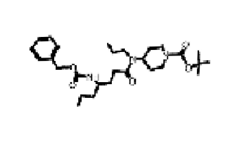 CCCC(CCC(=O)N(CCC)C1CCN(C(=O)OC(C)(C)C)CC1)NC(=O)OCc1ccccc1